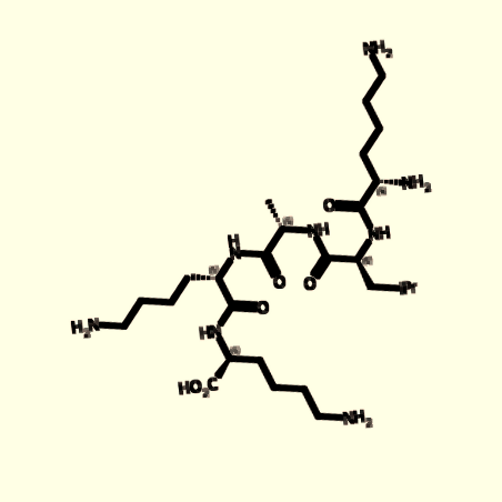 CC(C)C[C@H](NC(=O)[C@@H](N)CCCCN)C(=O)N[C@@H](C)C(=O)N[C@@H](CCCCN)C(=O)N[C@@H](CCCCN)C(=O)O